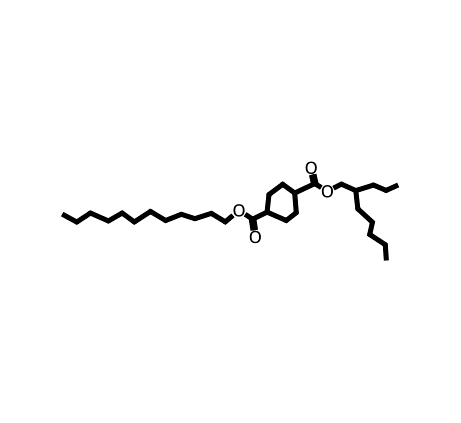 CCCCCCCCCCCCOC(=O)C1CCC(C(=O)OCC(CCC)CCCCC)CC1